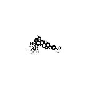 C=C(C)[C@@H]1CC[C@]2(NC(=O)N[C@H](CO)C(=O)O)CC[C@]3(C)[C@H](CC[C@@H]4[C@@]5(C)CC=C(c6ccc(C(=O)O)cc6)C(C)(C)[C@@H]5CC[C@]43C)[C@@H]12